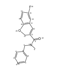 CN(Cc1ccncc1)C(=O)C1=Cc2cc(F)ccc2OC1